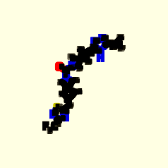 O=C(N1CC2(CC(Cc3nc(C(F)(F)F)ns3)C2)C1)N1CC2(CC(c3nnc(C4CC4)[nH]3)C2)C1